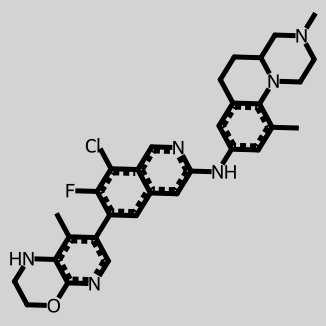 Cc1cc(Nc2cc3cc(-c4cnc5c(c4C)NCCO5)c(F)c(Cl)c3cn2)cc2c1N1CCN(C)CC1CC2